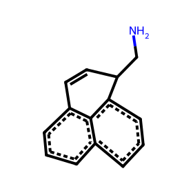 NCC1C=Cc2cccc3cccc1c23